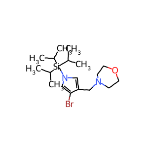 CC(C)[Si](C(C)C)(C(C)C)n1cc(Br)c(CN2CCOCC2)c1